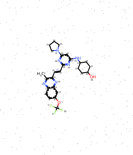 Cc1nc2ccc(OC(F)(F)F)cc2nc1/C=C/c1nc(NC2CCC(O)CC2)cc(N2CCCC2)n1